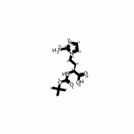 CC(C)(C)OC(=O)N[C@@H](CCn1ccnc1N)C(=O)O